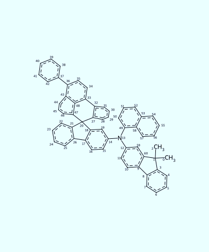 CC1(C)c2ccccc2-c2ccc(N(c3ccc4c(c3)C3(c5ccccc5-4)c4ccccc4-c4ccc(-c5ccccc5)c5cccc3c45)c3cccc4ccccc34)cc21